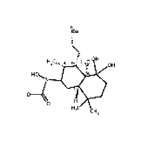 CC[C@@H](C)CC[C@H]1[C@@H](C)C(N(O)C([O])=O)C[C@H]2C(C)(C)CCC(O)(O)[C@]12C